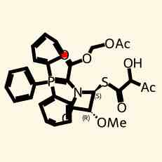 CO[C@@H]1C(=O)N(C(C(=O)OCOC(C)=O)=P(c2ccccc2)(c2ccccc2)c2ccccc2)[C@H]1SC(=O)C(O)C(C)=O